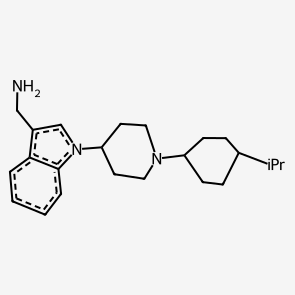 CC(C)C1CCC(N2CCC(n3cc(CN)c4ccccc43)CC2)CC1